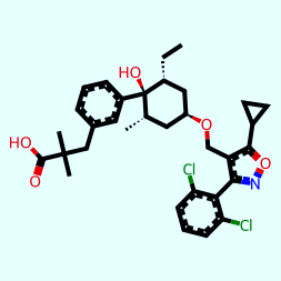 CC[C@@H]1C[C@@H](OCc2c(-c3c(Cl)cccc3Cl)noc2C2CC2)C[C@H](C)[C@]1(O)c1cccc(CC(C)(C)C(=O)O)c1